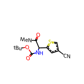 CNC(=O)C(NC(=O)OC(C)(C)C)c1cc(C#N)cs1